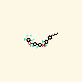 CCCCCc1ccc(-c2cc(F)c(C(F)(F)Oc3ccc(-c4cc(F)c(C(F)(F)Oc5cc(F)c(F)c(F)c5)c(F)c4)c(F)c3)c(F)c2)cc1